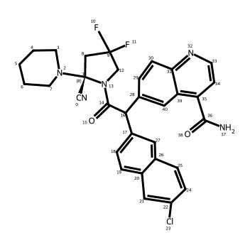 N#C[C@@]1(N2CCCCC2)CC(F)(F)CN1C(=O)C(c1ccc2cc(Cl)ccc2c1)c1ccc2nccc(C(N)=O)c2c1